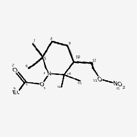 CCC(=O)ON1C(C)(C)CCC(CO[N+](=O)[O-])C1(C)C